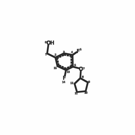 OCc1cc(F)c(OC2CCCC2)c(F)c1